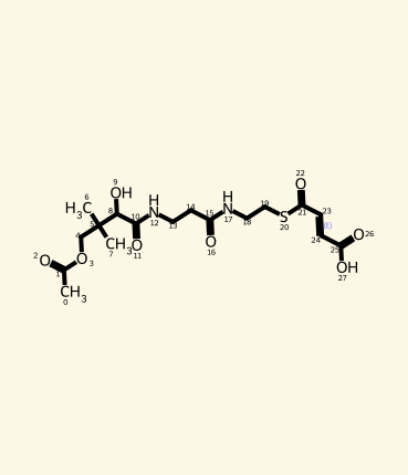 CC(=O)OCC(C)(C)C(O)C(=O)NCCC(=O)NCCSC(=O)/C=C/C(=O)O